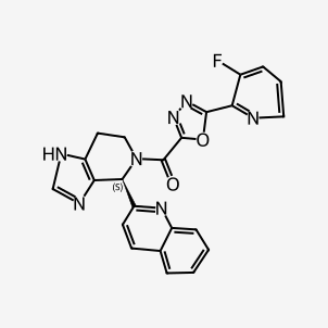 O=C(c1nnc(-c2ncccc2F)o1)N1CCc2[nH]cnc2[C@@H]1c1ccc2ccccc2n1